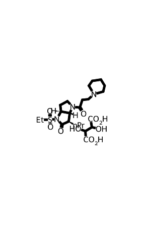 CCC[C@H]1C(=O)N(S(=O)(=O)CC)[C@H]2CCN(C(=O)CCN3CCCCC3)[C@H]12.O=C(O)C(O)C(O)C(=O)O